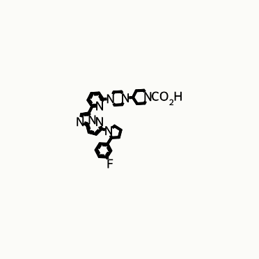 O=C(O)N1CCC(N2CCN(c3cccc(-c4cnc5ccc(N6CCCC6c6cccc(F)c6)nn45)n3)CC2)CC1